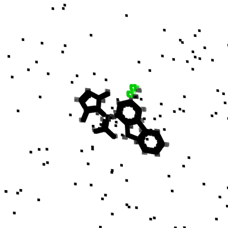 CC1=[C]([Ti+2](=[C](C)C)[c]2cccc3c2Cc2ccccc2-3)C(C)C=C1.[Cl-].[Cl-]